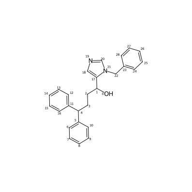 OC(CCC(c1ccccc1)c1ccccc1)c1cncn1Cc1ccccc1